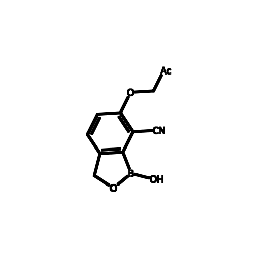 CC(=O)COc1ccc2c(c1C#N)B(O)OC2